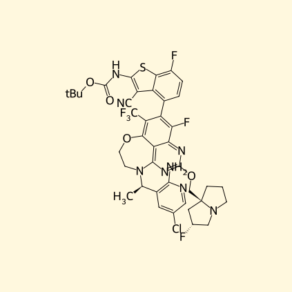 C[C@H](c1cc(Cl)cnc1N)N1CCOc2c(C(F)(F)F)c(-c3ccc(F)c4sc(NC(=O)OC(C)(C)C)c(C#N)c34)c(F)c3nc(OC[C@@]45CCCN4C[C@H](F)C5)nc1c23